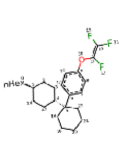 CCCCCC[C@H]1CC[C@H](C2(c3ccc(OC(F)=C(F)F)cc3)CCCCC2)CC1